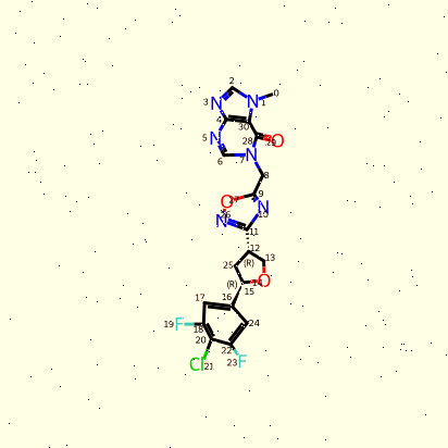 Cn1cnc2ncn(Cc3nc([C@@H]4CO[C@@H](c5cc(F)c(Cl)c(F)c5)C4)no3)c(=O)c21